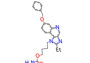 CCc1nc2cnc3cc(OCc4ccccc4)ccc3c2n1CCCCOC(N)=O